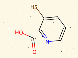 O=CO.Sc1cccnc1